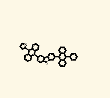 c1ccc(-c2c3ccccc3c(-c3ccc4c(c3)sc3ccc(-c5c6ccccc6c(-c6cccs6)c6ccccc56)cc34)c3ccccc23)cc1